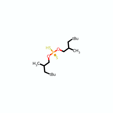 CC(COP(=S)(S)OCC(C)CC(C)(C)C)CC(C)(C)C